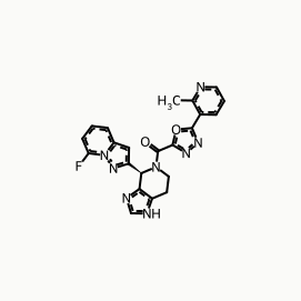 Cc1ncccc1-c1nnc(C(=O)N2CCc3[nH]cnc3[C@H]2c2cc3cccc(F)n3n2)o1